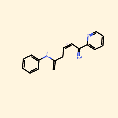 C=C(C/C=C\C(=N)c1ccccn1)Nc1ccccc1